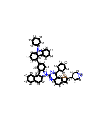 C1=CC(c2cc3ccc4nc(-n5c6ccc(-c7cccc8c7c7ccccc7n8-c7ccccc7)cc6c6c7ccccc7ccc65)nc(-c5ccccc5)c4c3s2)CC=N1